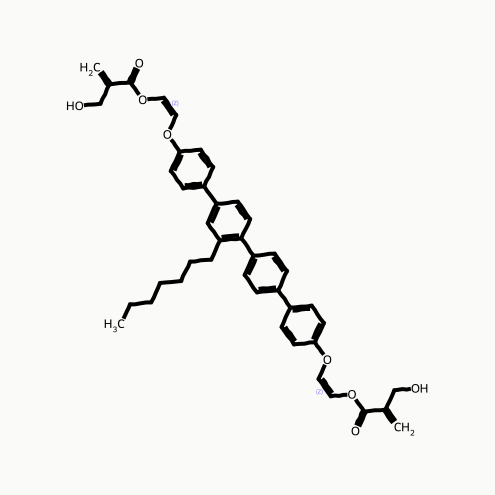 C=C(CO)C(=O)O/C=C\Oc1ccc(-c2ccc(-c3ccc(-c4ccc(O/C=C\OC(=O)C(=C)CO)cc4)cc3CCCCCCC)cc2)cc1